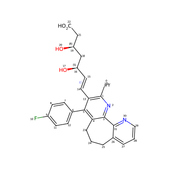 CC(C)c1nc2c(c(-c3ccc(F)cc3)c1/C=C/[C@@H](O)C[C@@H](O)CC(=O)O)CCCc1cccnc1-2